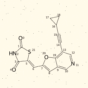 O=C1NC(=O)C(=Cc2cc3cncc(C#CC4CC4)c3o2)S1